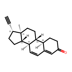 C#C[C@H]1CC[C@H]2[C@@H]3C=CC4=CC(=O)CC[C@@H]4[C@H]3CC[C@]12C